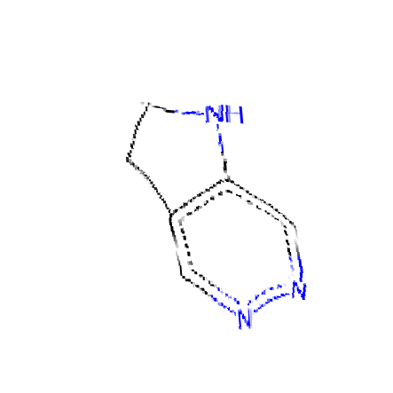 [CH]1Cc2cnncc2N1